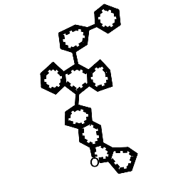 c1ccc(-c2cccc(-c3c4ccccc4c(-c4ccc5cc6oc7ccccc7c6cc5c4)c4ccccc34)c2)cc1